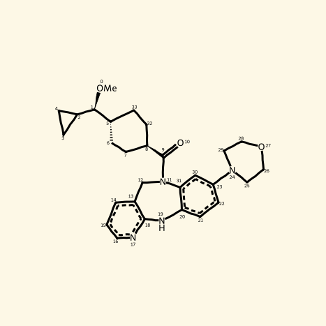 CO[C@H](C1CC1)[C@H]1CC[C@H](C(=O)N2Cc3cccnc3Nc3ccc(N4CCOCC4)cc32)CC1